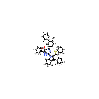 Cc1ccccc1-c1cc(-c2nc(-n3c4ccccc4c4c5ccccc5c5c6ccccc6sc5c43)nc3c2oc2ccccc23)ccc1C